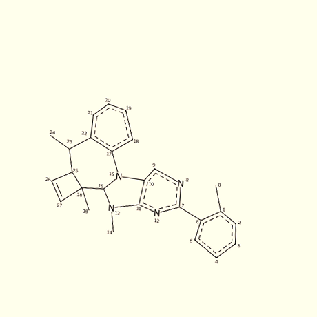 Cc1ccccc1-c1ncc2c(n1)N(C)C1N2c2ccccc2C(C)C2C=CC21C